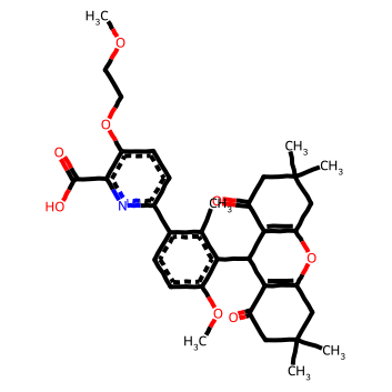 COCCOc1ccc(-c2ccc(OC)c(C3C4=C(CC(C)(C)CC4=O)OC4=C3C(=O)CC(C)(C)C4)c2C)nc1C(=O)O